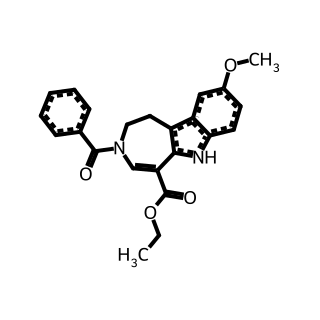 CCOC(=O)C1=CN(C(=O)c2ccccc2)CCc2c1[nH]c1ccc(OC)cc21